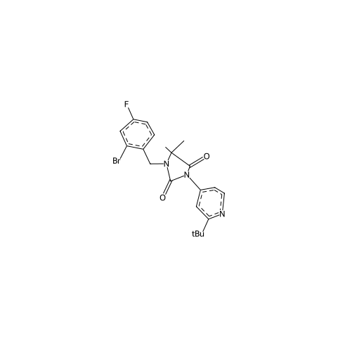 CC(C)(C)c1cc(N2C(=O)N(Cc3ccc(F)cc3Br)C(C)(C)C2=O)ccn1